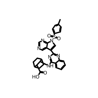 Cc1ccc(S(=O)(=O)n2cc(-c3nc(NC4C5CCC(CC5)C4C(=O)O)c4ccccc4n3)c3cncnc32)cc1